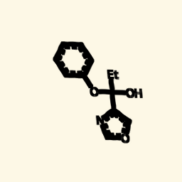 CCC(O)(Oc1ccccc1)c1cocn1